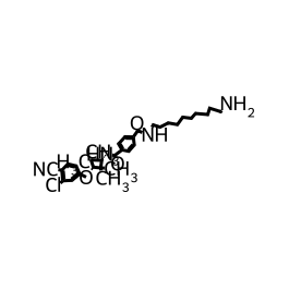 CC1(C)[C@H](NC(=O)c2ccc(C(=O)NCCCCCCCCCCN)cc2)C(C)(C)[C@H]1Oc1ccc(C#N)c(Cl)c1